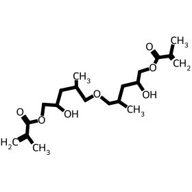 C=C(C)C(=O)OCC(O)CC(C)COCC(C)CC(O)COC(=O)C(=C)C